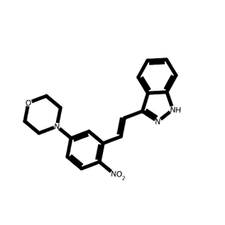 O=[N+]([O-])c1ccc(N2CCOCC2)cc1C=Cc1n[nH]c2ccccc12